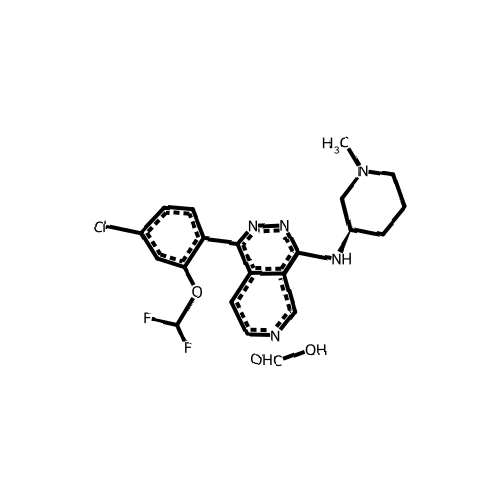 CN1CCC[C@@H](Nc2nnc(-c3ccc(Cl)cc3OC(F)F)c3ccncc23)C1.O=CO